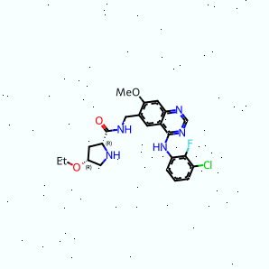 CCO[C@H]1CN[C@@H](C(=O)NCc2cc3c(Nc4cccc(Cl)c4F)ncnc3cc2OC)C1